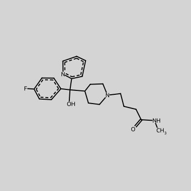 CNC(=O)CCCN1CCC(C(O)(c2ccc(F)cc2)c2ccccn2)CC1